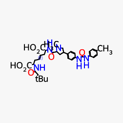 Cc1ccc(NC(=O)Nc2ccc(C3CC(C(=O)NC(C/C=C/CC(NC(=O)CC(C)(C)C)C(=O)O)C(=O)O)N(C)C3)cc2)cc1